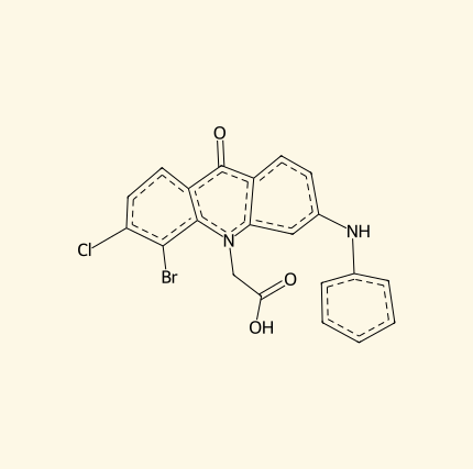 O=C(O)Cn1c2cc(Nc3ccccc3)ccc2c(=O)c2ccc(Cl)c(Br)c21